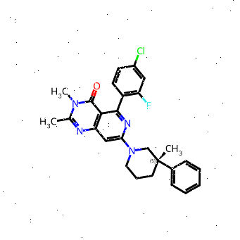 Cc1nc2cc(N3CCC[C@@](C)(c4ccccc4)C3)nc(-c3ccc(Cl)cc3F)c2c(=O)n1C